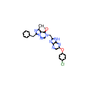 Cc1nc(Cc2ccccc2)n2ncn(Cc3nc4ncc(Oc5ccc(Cl)cc5)nc4[nH]3)c(=O)c12